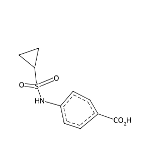 O=C(O)c1ccc(NS(=O)(=O)C2CC2)cc1